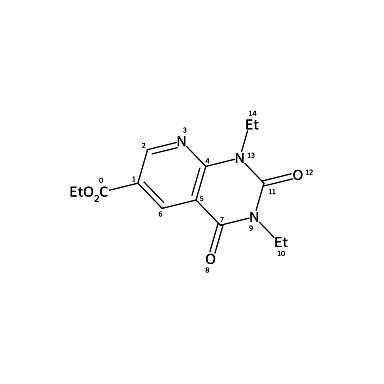 CCOC(=O)c1cnc2c(c1)c(=O)n(CC)c(=O)n2CC